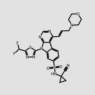 N#CC1(NS(=O)(=O)c2ccc3c4c(/C=C/CN5CCOCC5)ncnc4n(-c4nnc(C(F)F)s4)c3c2)CC1